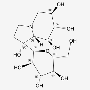 OC[C@H]1O[C@H]([C@@]2(O)CCN3C[C@@H](O)[C@H](O)[C@@H](O)[C@@H]32)[C@H](O)[C@@H](O)[C@@H]1O